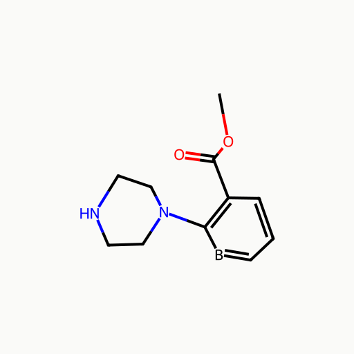 COC(=O)c1cccbc1N1CCNCC1